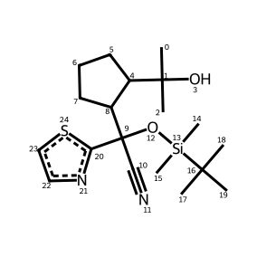 CC(C)(O)C1CCCC1C(C#N)(O[Si](C)(C)C(C)(C)C)c1nccs1